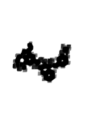 CCc1cn2c3c(cc(C(=O)N[C@@H](Cc4ccccc4)[C@H](O)CNCc4cccc(OC(F)(F)F)c4)cc13)N(C)S(=O)(=O)CC2